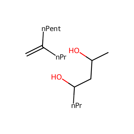 C=C(CCC)CCCCC.CCCC(O)CC(C)O